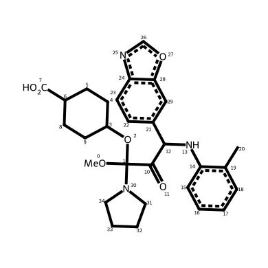 COC(OC1CCC(C(=O)O)CC1)(C(=O)C(Nc1ccccc1C)c1ccc2ncoc2c1)N1CCCC1